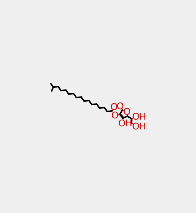 CC(C)CCCCCCCCCCCCCCC(=O)OC1=C(O)[C@@H]([C@@H](O)CO)OC1=O